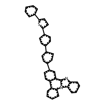 c1ccc(-c2ccc(-c3ccc(-c4ccc(-c5ccc6c7ccccc7n7c8ccccc8nc7c6c5)cc4)cc3)s2)cc1